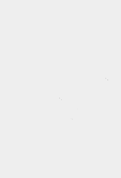 Cc1cc(F)c(-c2nc(C(=O)N(C)C)c(-c3cccnc3)c(C3CCCCO3)c2F)c(F)c1